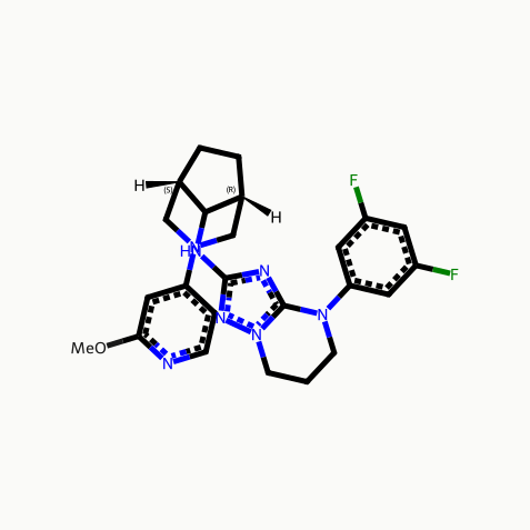 COc1cc(N2C[C@H]3CC[C@@H](C2)C3Nc2nc3n(n2)CCCN3c2cc(F)cc(F)c2)ccn1